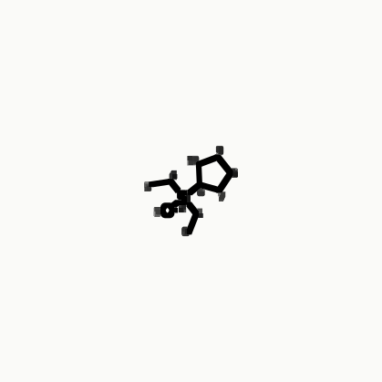 CC[Si]([O])(CC)C1CCCC1